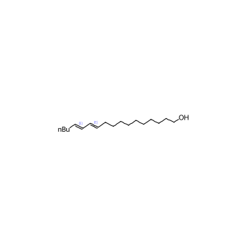 CCCC/C=C/C=C/CCCCCCCCCCO